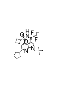 CC(C)(C)Cn1cc([C@H](NS(=O)(=O)C2CCC2)C(F)(F)F)c2ccc(C3CCCC3)nc21